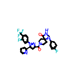 O=C(c1cc(-c2ccccn2)n(-c2ccc(C(F)(F)F)c(F)c2)n1)N1CCC2(CC1)C(=O)NCN2c1ccc(F)cc1